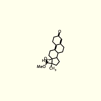 COC(=O)[C@@]1(C)CCC2C3CCC4=CC(=O)CCC4=C3CCC21C